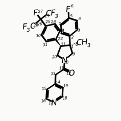 C[C@]1(c2ccc(F)cc2)CN(C(=O)Cc2ccncc2)C[C@H]1c1ccc(C(F)(C(F)(F)F)C(F)(F)F)cc1